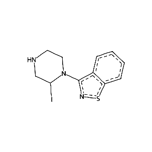 IC1CNCCN1c1nsc2ccccc12